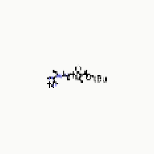 C=CC(=C\C(C)=C(/C)CN1CC(C)=C(C(=C)OCC(C)(C)C)C1=O)/C(=C/C)C(/C)=N\C